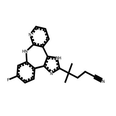 CC(C)(CCC#N)c1nc2c([nH]1)-c1cccnc1Nc1cc(F)ccc1-2